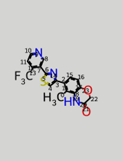 Cc1c(-c2csc(-c3cnccc3C(F)(F)F)n2)ccc2c1NC(=O)CO2